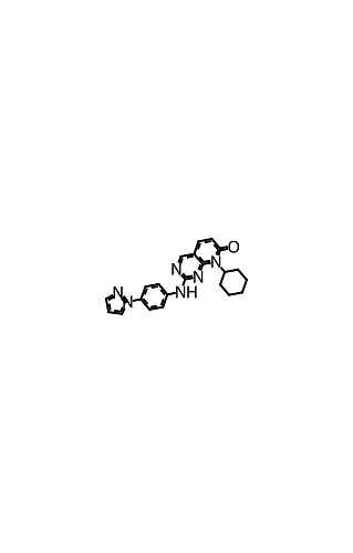 O=c1ccc2cnc(Nc3ccc(-n4cccn4)cc3)nc2n1C1CCCCC1